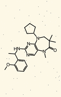 COc1ccccc1C(C)Nc1ncc2c(n1)N(C1CCCC1)CC(C)(C)C(=O)N2C